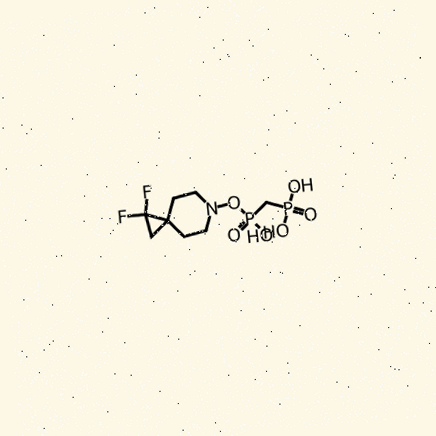 O=P(O)(O)CP(=O)(O)ON1CCC2(CC1)CC2(F)F